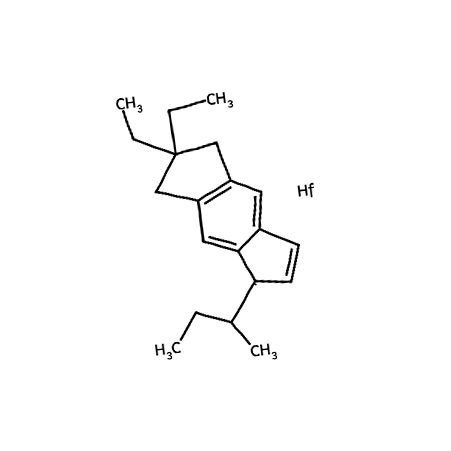 CCC(C)[C]1C=Cc2cc3c(cc21)CC(CC)(CC)C3.[Hf]